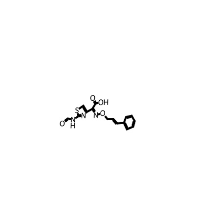 O=CNc1nc(C(=NOCC=Cc2ccccc2)C(=O)O)cs1